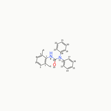 Cc1cccc(C)c1NC(=O)N(c1ccccc1)c1ccccc1